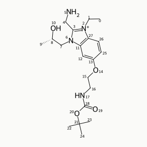 CC[n+]1c(CN)n(C[C@H](C)O)c2cc(OCCNC(=O)OC(C)(C)C)ccc21